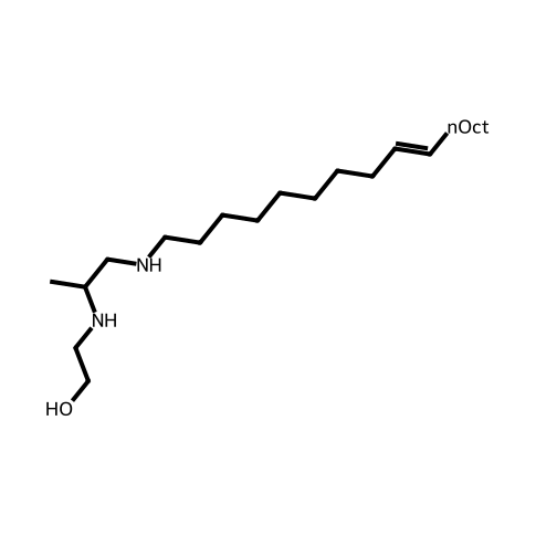 CCCCCCCCC=CCCCCCCCCNCC(C)NCCO